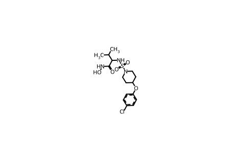 CC(C)C(NS(=O)(=O)N1CCC(Oc2ccc(Cl)cc2)CC1)C(=O)NO